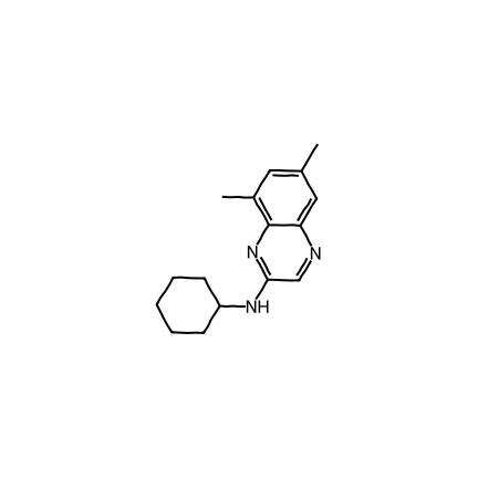 Cc1cc(C)c2nc(NC3CCCCC3)cnc2c1